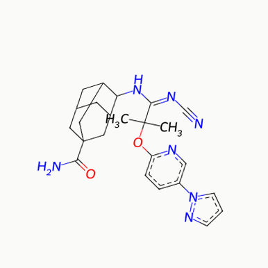 CC(C)(Oc1ccc(-n2cccn2)cn1)/C(=N\C#N)NC1C2CC3CC1CC(C(N)=O)(C3)C2